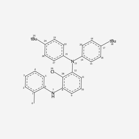 Cc1ccccc1Nc1cccc(N(c2ccc(C(C)(C)C)cc2)c2ccc(C(C)(C)C)cc2)c1Cl